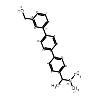 CC(c1ccc(-c2ccc(-c3cccc(CO)c3)cc2)cc1)N(C)C